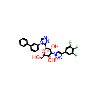 OC[C@H]1O[C@@H](c2nncn2-c2cccc(-c3ccccc3)c2)[C@H](O)[C@@H](n2cc(-c3cc(F)c(F)c(F)c3)nn2)[C@H]1O